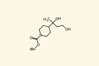 CC(C)(C)OC(=O)N1CCC(C(C)(O)CCO)CC1